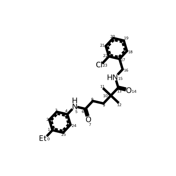 CCc1ccc(NC(=O)CCC(C)(C)C(=O)NCc2ccccc2Cl)cc1